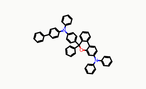 c1ccc(-c2ccc(N(c3ccccc3)c3ccc(C4(c5ccccc5)Oc5cc(N(c6ccccc6)c6ccccc6)ccc5-c5ccccc54)cc3)cc2)cc1